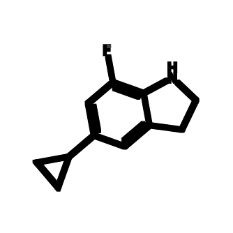 Fc1cc(C2CC2)cc2c1NCC2